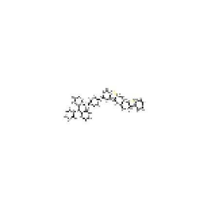 c1ccc(-c2c3ccccc3c(-c3ccc(-c4ccc5sc6cc7c(ccc8c9ccccc9sc78)cc6c5c4)cc3)c3ccccc23)cc1